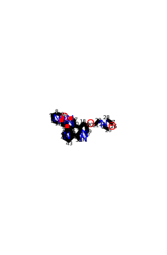 CN(C)C(CC(=O)N1C2CC1CN(c1ccc(-c3cc(OCCN4CCOCC4)cn4ncc(C#N)c34)cn1)C2)c1ccccc1